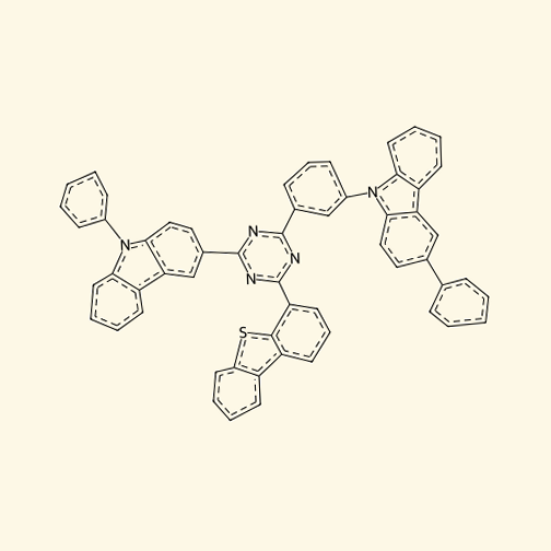 c1ccc(-c2ccc3c(c2)c2ccccc2n3-c2cccc(-c3nc(-c4ccc5c(c4)c4ccccc4n5-c4ccccc4)nc(-c4cccc5c4sc4ccccc45)n3)c2)cc1